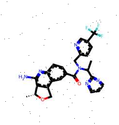 CC(c1ncccn1)N(Cc1ccc(C(F)(F)F)cn1)C(=O)c1ccc2nc(N)c3c(c2c1)CO[C@@H]3C